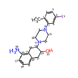 Cc1ccc(I)cc1N1CCN(C2Cc3c(N)cccc3CC2O)CC1